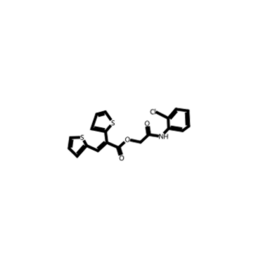 O=C(COC(=O)/C(=C/c1cccs1)c1cccs1)Nc1ccccc1Cl